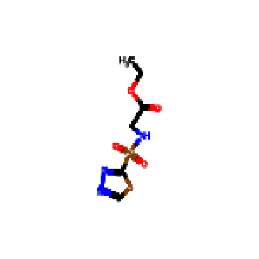 CCOC(=O)CNS(=O)(=O)c1nn[c]s1